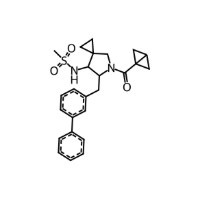 CS(=O)(=O)NC1C(Cc2cccc(-c3ccccc3)c2)N(C(=O)C23CC2C3)CC12CC2